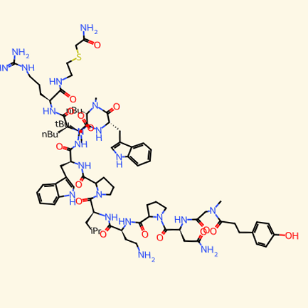 CCCC[C@@H](C(=O)N(C)[C@@H](CCCC)C(=O)N[C@@H](CCCNC(=N)N)C(=O)NCCSCC(N)=O)N(C)C(=O)[C@H](Cc1c[nH]c2ccccc12)NC(=O)[C@@H](NC(=O)[C@H](Cc1c[nH]c2ccccc12)NC(=O)C1CCCN1C(=O)[C@H](CC(C)C)NC(=O)[C@H](CCN)NC(=O)C1CCCN1C(=O)[C@H](CC(N)=O)NC(=O)CN(C)C(=O)CCc1ccc(O)cc1)C(C)(C)C